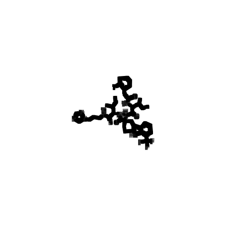 CCC(C)[C@H](NC(=O)Cc1ccccc1F)C(=O)N[C@]1(C(=O)N[C@H](C(=S)NCCCn2cncn2)C(C)CC)CCc2[nH]c3c(C(F)(F)F)cccc3c2C1